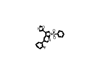 O=S(=O)(c1ccccc1)n1cc(-c2cnco2)c2cc(-c3ccccc3F)cnc21